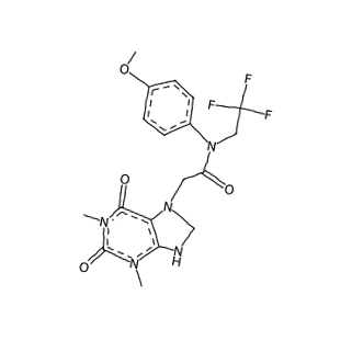 COc1ccc(N(CC(F)(F)F)C(=O)CN2CNc3c2c(=O)n(C)c(=O)n3C)cc1